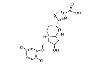 O=C(O)c1csc([C@H]2CC[C@@H]3[C@@H](COc4cc(Cl)ccc4Cl)[C@H](O)C[C@@H]3O2)n1